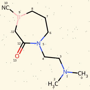 CN(C)CCN1CCCB(C#N)CC1=O